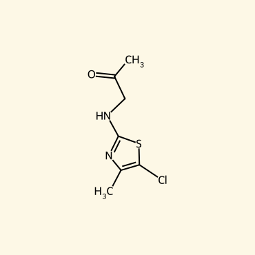 CC(=O)CNc1nc(C)c(Cl)s1